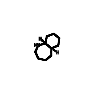 C1CC[C@@H]2CCCC[C@H]2NC1